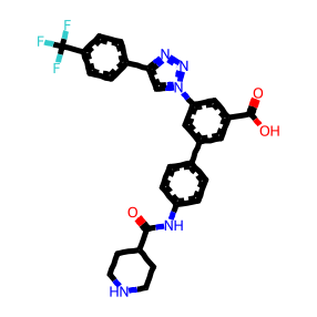 O=C(O)c1cc(-c2ccc(NC(=O)C3CCNCC3)cc2)cc(-n2cc(-c3ccc(C(F)(F)F)cc3)nn2)c1